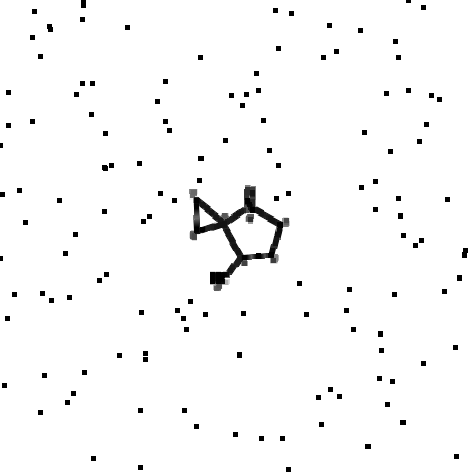 N#CC1CCNC12CC2